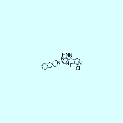 Fc1c(-c2n[nH]c3nc(N4CCC5(CC4)Cc4ccccc4C5)cnc23)ccnc1Cl